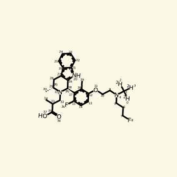 [2H]C([2H])([2H])N(CCCF)CCOc1ccc(F)c([C@@H]2c3[nH]c4ccccc4c3C[C@@H](C)N2CC(C)C(=O)O)c1C